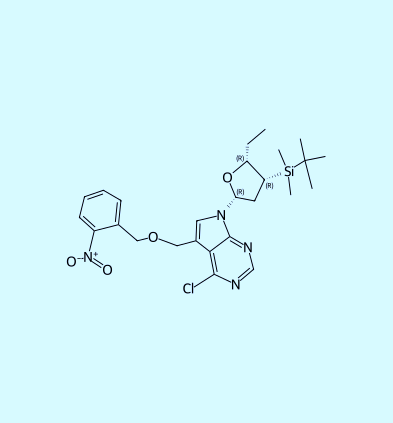 CC[C@H]1O[C@@H](n2cc(COCc3ccccc3[N+](=O)[O-])c3c(Cl)ncnc32)C[C@H]1[Si](C)(C)C(C)(C)C